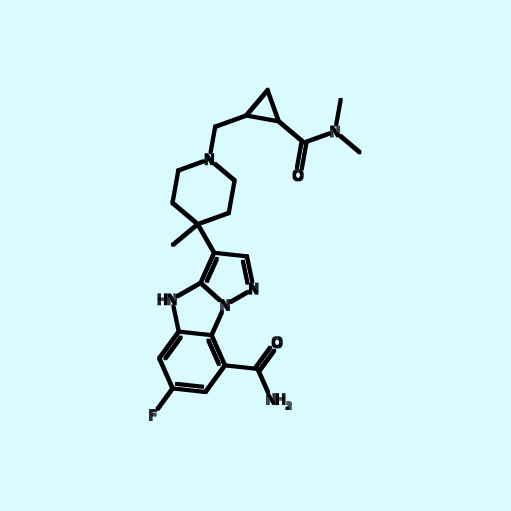 CN(C)C(=O)C1CC1CN1CCC(C)(c2cnn3c2[nH]c2cc(F)cc(C(N)=O)c23)CC1